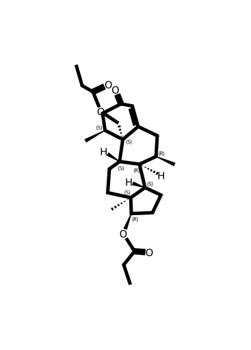 CCC(=O)OC[C@@]12C(=CC(=O)C[C@@H]1C)C[C@@H](C)[C@H]1[C@@H]3CC[C@@H](OC(=O)CC)[C@@]3(C)CC[C@@H]12